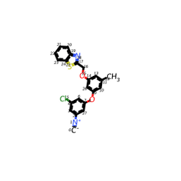 [C-]#[N+]c1cc(Cl)cc(Oc2cc(C)cc(OCc3nc4ccccc4s3)c2)c1